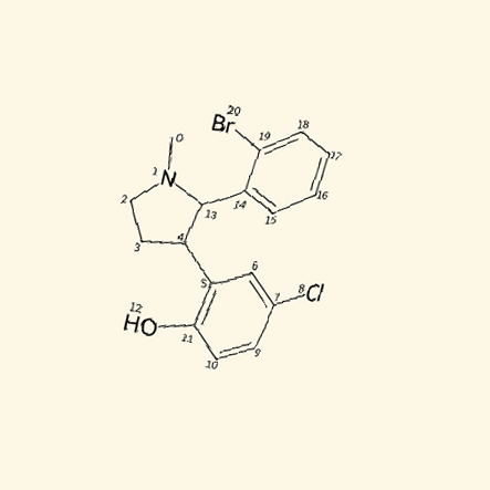 CN1CCC(c2cc(Cl)ccc2O)C1c1ccccc1Br